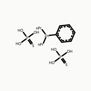 CC[CH2][Zn]([CH2]CC)[c]1ccccc1.OP(O)(O)=S.OP(O)(O)=S